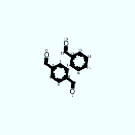 O=Cc1ccc(C=O)cc1.O=Cc1ccccc1